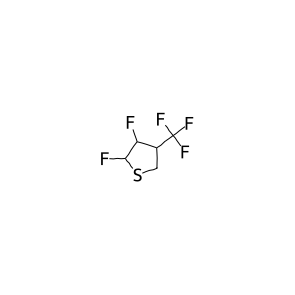 FC1SCC(C(F)(F)F)C1F